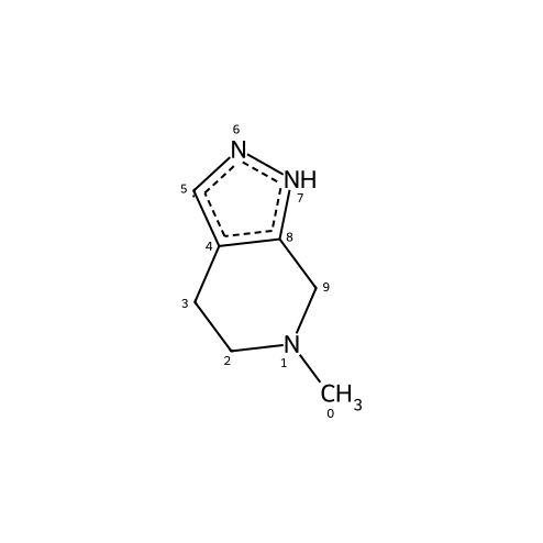 CN1CCc2[c]n[nH]c2C1